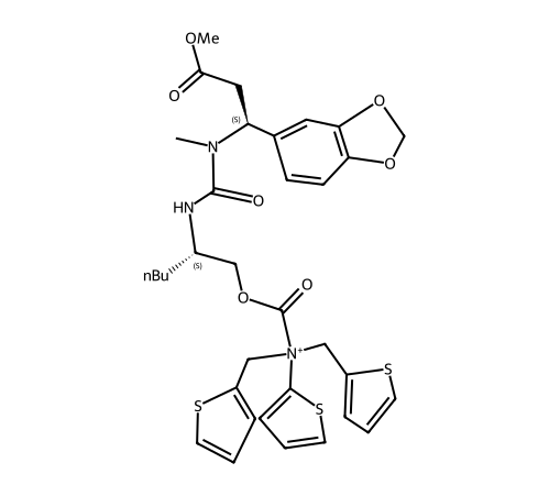 CCCC[C@@H](COC(=O)[N+](Cc1cccs1)(Cc1cccs1)c1cccs1)NC(=O)N(C)[C@@H](CC(=O)OC)c1ccc2c(c1)OCO2